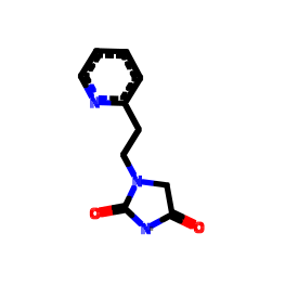 O=C1CN(CCc2ccccn2)C(=O)[N]1